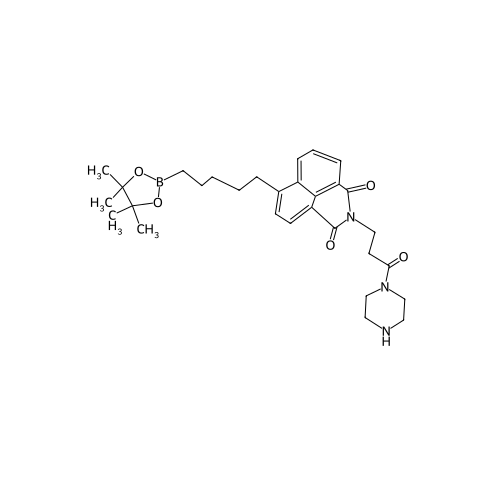 CC1(C)OB(CCCCCc2ccc3c4c(cccc24)C(=O)N(CCC(=O)N2CCNCC2)C3=O)OC1(C)C